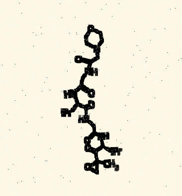 CC(C)C(NC(=O)CNC(=O)CN1CCOCC1)C(=O)NCC(=O)N[C@H](C(=O)C1(C)CO1)C(C)C